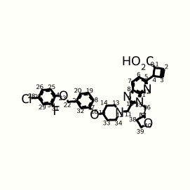 O=C(O)C1C#CC1c1ccc2nc(CN3CCC(Oc4cccc(COc5ccc(Cl)cc5F)c4)CC3)n(C[C@@H]3CCO3)c2n1